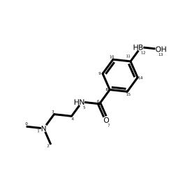 CN(C)CCNC(=O)c1ccc(BO)cc1